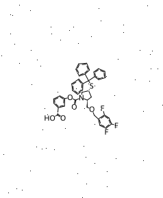 O=C(O)c1cccc(OC(=O)N2C[C@H](SC(c3ccccc3)(c3ccccc3)c3ccccc3)C[C@H]2COCc2cc(F)c(F)cc2F)c1